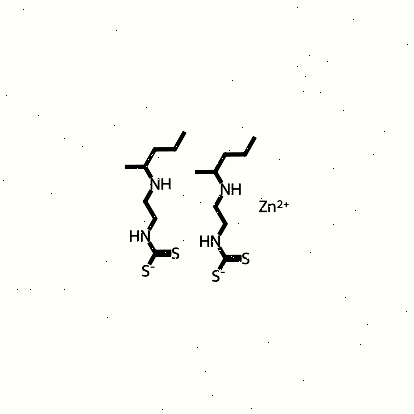 CCCC(C)NCCNC(=S)[S-].CCCC(C)NCCNC(=S)[S-].[Zn+2]